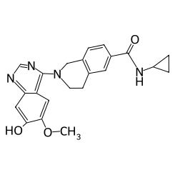 COc1cc2c(N3CCc4cc(C(=O)NC5CC5)ccc4C3)ncnc2cc1O